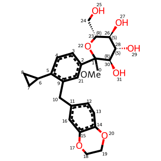 COC1(c2ccc(C3CC3)c(Cc3ccc4c(c3)OCCO4)c2)O[C@H](CO)[C@@H](O)[C@H](O)[C@H]1O